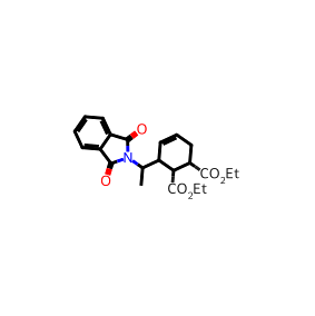 CCOC(=O)C1CC=CC(C(C)N2C(=O)c3ccccc3C2=O)C1C(=O)OCC